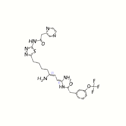 N/C(=C\C=C(/N)NC(=O)Cc1cccc(OC(F)(F)F)c1)CCCCc1nnc(NC(=O)Cc2cnccn2)s1